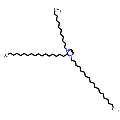 CCCCCCCCCCCCCCCCCCCN1C=CN(CCCCCCCCCCCC)C1CCCCCCCCCCCCCCCCC